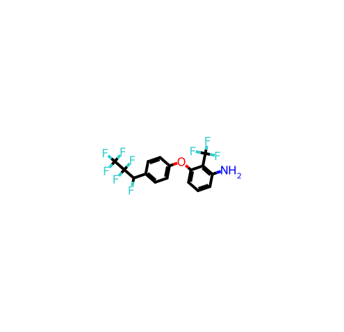 Nc1cccc(Oc2ccc(C(F)C(F)(F)C(F)(F)F)cc2)c1C(F)(F)F